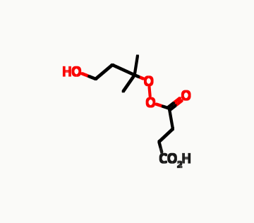 CC(C)(CCO)OOC(=O)CCC(=O)O